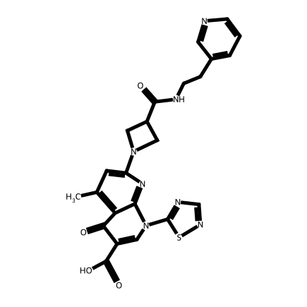 Cc1cc(N2CC(C(=O)NCCc3cccnc3)C2)nc2c1c(=O)c(C(=O)O)cn2-c1ncns1